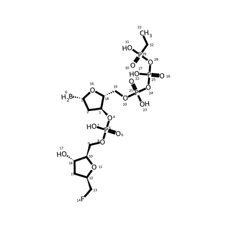 B[C@H]1C[C@H](OP(=O)(O)OC[C@H]2O[C@@H](CF)C[C@@H]2O)[C@@H](COP(=O)(O)OP(=O)(O)OP(=O)(O)CC)O1